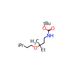 CCC(C)(CCNC(=O)OC(C)(C)C)OCCC(C)C